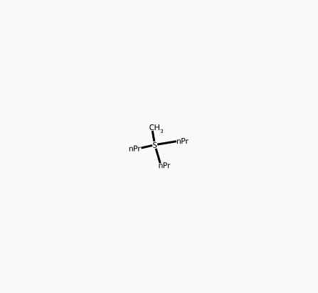 CCCS(C)(CCC)CCC